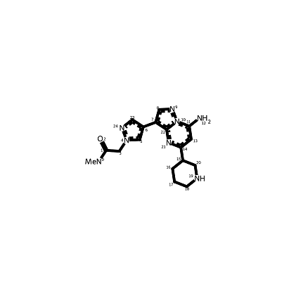 CNC(=O)Cn1cc(-c2cnn3c(N)cc(C4CCCNC4)nc23)cn1